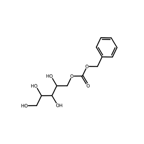 O=C(OCc1ccccc1)OCC(O)C(O)C(O)CO